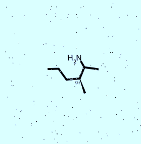 CCC[C@H](C)C(C)N